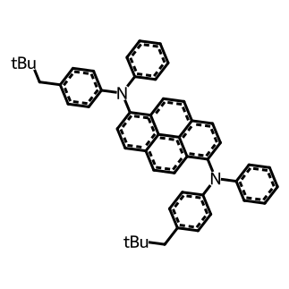 CC(C)(C)Cc1ccc(N(c2ccccc2)c2ccc3ccc4c(N(c5ccccc5)c5ccc(CC(C)(C)C)cc5)ccc5ccc2c3c54)cc1